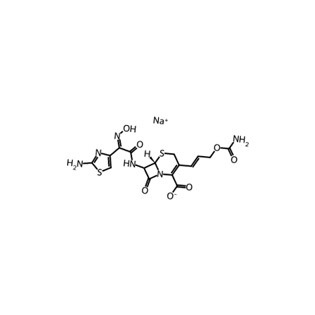 NC(=O)OC/C=C/C1=C(C(=O)[O-])N2C(=O)C(NC(=O)/C(=N\O)c3csc(N)n3)[C@@H]2SC1.[Na+]